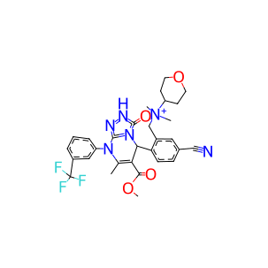 COC(=O)C1=C(C)N(c2cccc(C(F)(F)F)c2)c2n[nH]c(=O)n2C1c1ccc(C#N)cc1C[N+](C)(C)C1CCOCC1